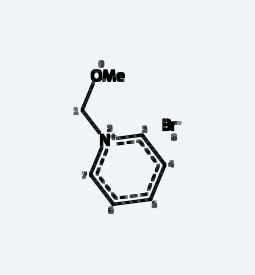 COC[n+]1ccccc1.[Br-]